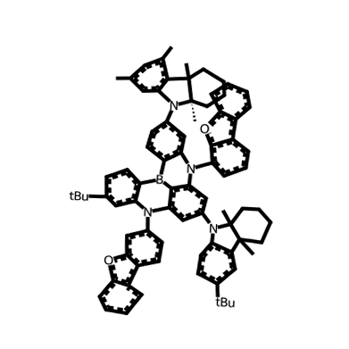 Cc1cc(C)c2c(c1)N(c1ccc3c(c1)N(c1cccc4c1oc1ccccc14)c1cc(N4c5ccc(C(C)(C)C)cc5C5(C)CCCCC45C)cc4c1B3c1ccc(C(C)(C)C)cc1N4c1ccc3c(c1)oc1ccccc13)[C@]1(C)CCCCC21C